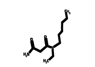 CCCCCCN(CC)C(=O)CC(N)=O